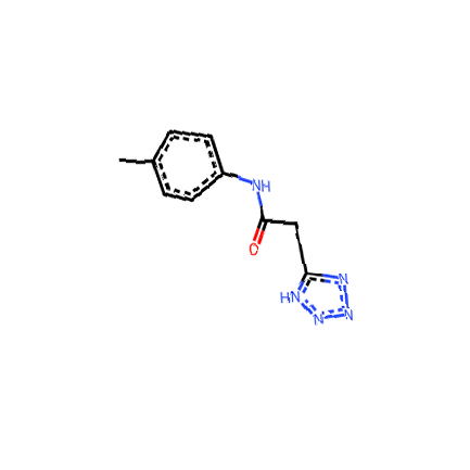 Cc1ccc(NC(=O)Cc2nnn[nH]2)cc1